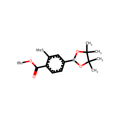 CSc1cc(B2OC(C)(C)C(C)(C)O2)ccc1C(=O)OC(C)(C)C